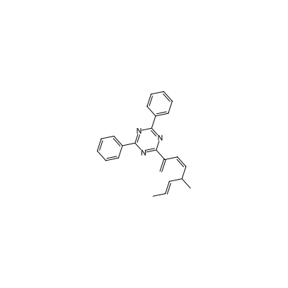 C=C(/C=C\C(C)/C=C/C)c1nc(-c2ccccc2)nc(-c2ccccc2)n1